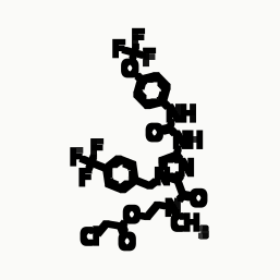 CN(CCOC(=O)CCl)C(=O)c1nc(NC(=O)Nc2ccc(OC(F)(F)F)cc2)cn1Cc1ccc(C(F)(F)F)cc1